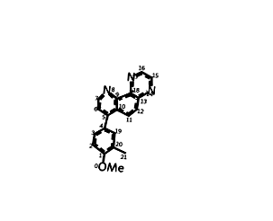 COc1ccc(-c2ccnc3c2ccc2nccnc23)cc1C